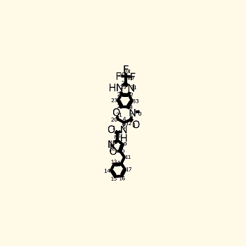 CN1C(=O)[C@@H](NC(=O)c2cc(Cc3ccccc3)on2)COc2cc3[nH]c(C(F)(F)F)nc3cc21